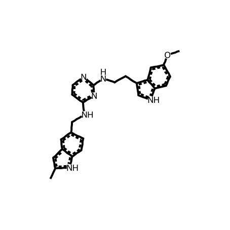 COc1ccc2[nH]cc(CCNc3nccc(NCc4ccc5[nH]c(C)cc5c4)n3)c2c1